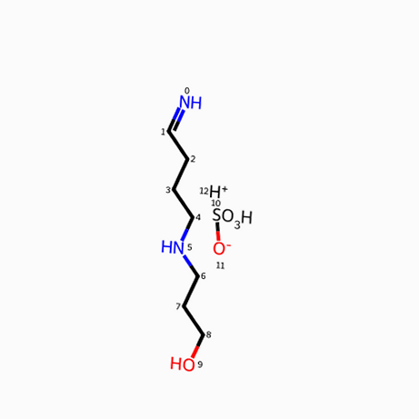 N=CCCCNCCCO.O=S(=O)([O-])O.[H+]